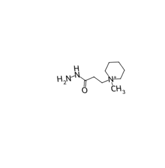 C[N+]1(CCC(=O)NN)CCCCC1